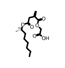 C=C(CC(=O)O[C@@H](C)CCCCCC)C(=O)OCC(=O)O